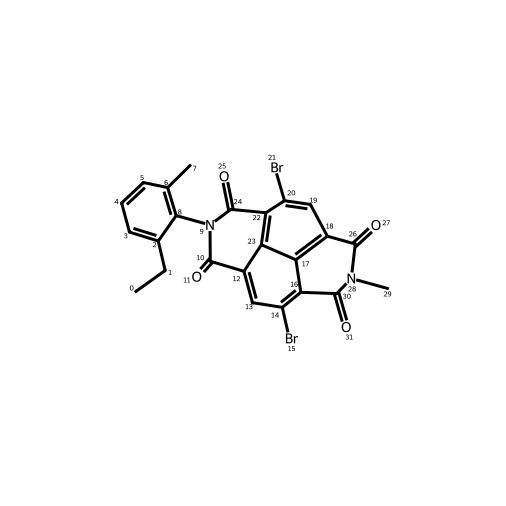 CCc1cccc(C)c1N1C(=O)c2cc(Br)c3c4c(cc(Br)c(c24)C1=O)C(=O)N(C)C3=O